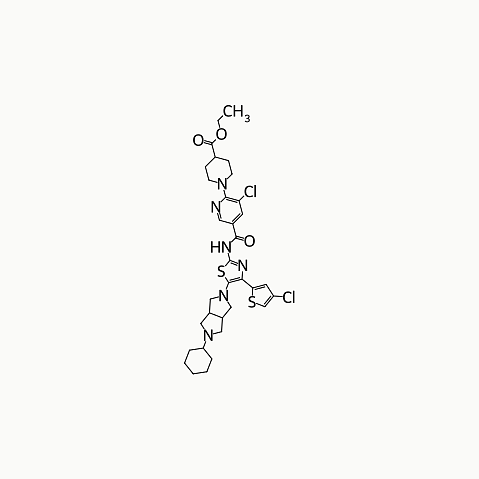 CCOC(=O)C1CCN(c2ncc(C(=O)Nc3nc(-c4cc(Cl)cs4)c(N4CC5CN(C6CCCCC6)CC5C4)s3)cc2Cl)CC1